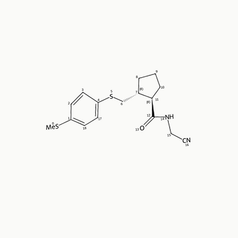 CSc1ccc(SC[C@@H]2CCC[C@H]2C(=O)NCC#N)cc1